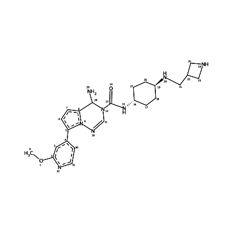 COc1cc(-c2ccc3n2N=CN(C(=O)N[C@H]2CC[C@H](NCC4CNC4)CC2)C3N)ccn1